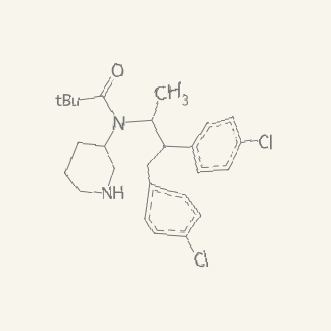 CC(C(Cc1ccc(Cl)cc1)c1ccc(Cl)cc1)N(C(=O)C(C)(C)C)C1CCCNC1